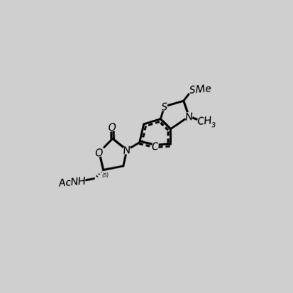 CSC1Sc2cc(N3C[C@H](CNC(C)=O)OC3=O)ccc2N1C